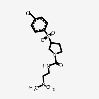 CN(C)CCNC(=O)N1CCC(S(=O)(=O)c2ccc(Cl)cc2)C1